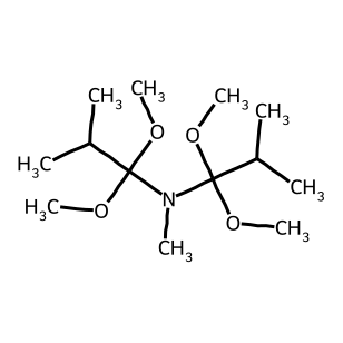 COC(OC)(C(C)C)N(C)C(OC)(OC)C(C)C